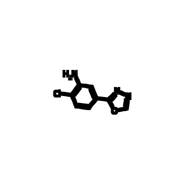 Nc1cc(-c2nnco2)ccc1Cl